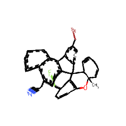 CC12C=CC=CC1C1(C3=C(C=CCC3F)O2)c2ccc(Br)cc2-c2c1cc(C#N)c1ccccc21